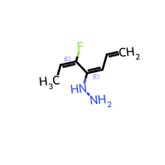 C=C/C=C(NN)\C(F)=C/C